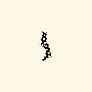 C=C(C)CC1(F)CCC(C(=C)N2CCC(Cc3ccc(CCCC)c(C)n3)CC2)CC1